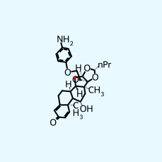 CCC[C@H]1O[C@@H]2C[C@H]3[C@@H]4CCC5=CC(=O)C=C[C@]5(C)C4[C@@H](O)C[C@]3(C)[C@]2(C(=O)COc2ccc(N)cc2)O1